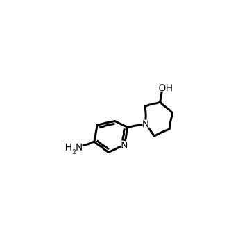 Nc1ccc(N2CCCC(O)C2)nc1